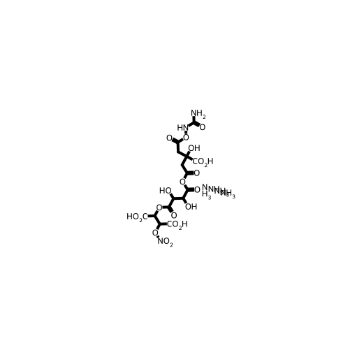 N.N.N.N.NC(=O)NOC(=O)CC(O)(CC(=O)OC(=O)C(O)C(O)C(=O)OC(C(=O)O)C(O[N+](=O)[O-])C(=O)O)C(=O)O